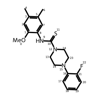 COc1cc(C)c(C)cc1NC(=S)N1CCN(c2ccccc2F)CC1